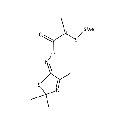 CSSN(C)C(=O)ON=C1SC(C)(C)N=C1C